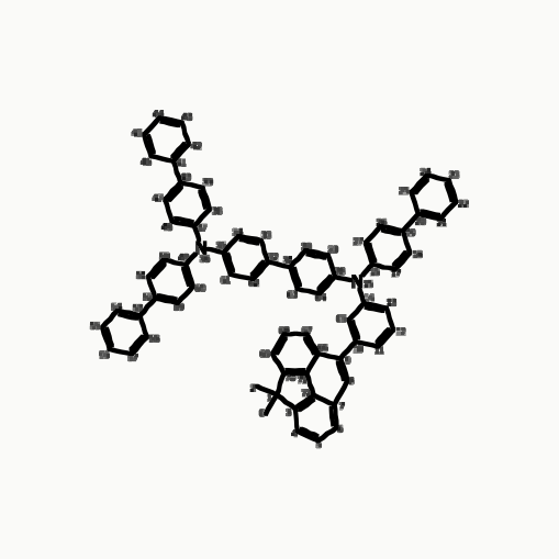 CC1(C)c2cccc3cc(-c4cccc(N(c5ccc(-c6ccccc6)cc5)c5ccc(-c6ccc(N(c7ccc(-c8ccccc8)cc7)c7ccc(-c8ccccc8)cc7)cc6)cc5)c4)c4cccc1c4c23